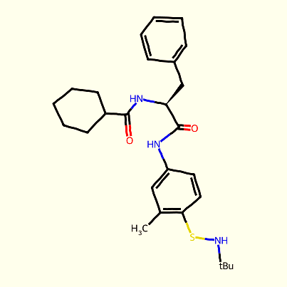 Cc1cc(NC(=O)[C@H](Cc2ccccc2)NC(=O)C2CCCCC2)ccc1SNC(C)(C)C